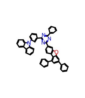 c1ccc(-c2cc(-c3ccccc3)c3c(c2)oc2cc(-c4nc(-c5ccccc5)nc(-c5cccc(-n6c7ccccc7c7ccccc76)c5)n4)ccc23)cc1